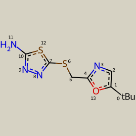 CC(C)(C)c1cnc(CSc2nnc(N)s2)o1